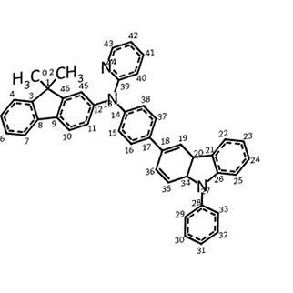 CC1(C)c2ccccc2-c2ccc(N(c3ccc(C4=CC5c6ccccc6N(c6ccccc6)C5C=C4)cc3)c3ccccn3)cc21